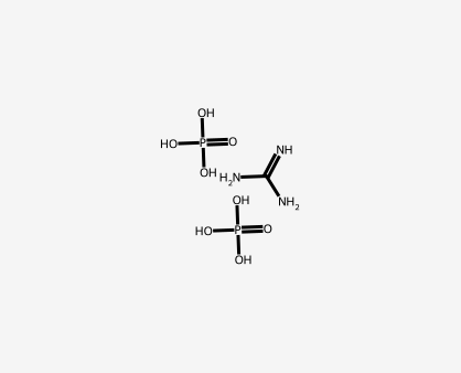 N=C(N)N.O=P(O)(O)O.O=P(O)(O)O